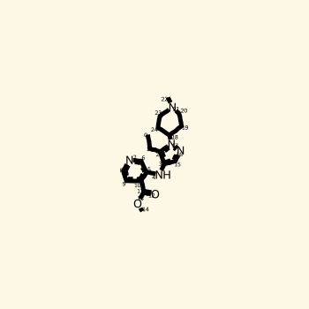 CCc1c(Nc2cnccc2C(=O)OC)cnn1C1CCN(C)CC1